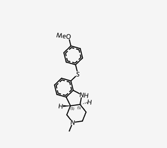 COc1ccc(Sc2cccc3c2N[C@H]2CCN(C)C[C@H]32)cc1